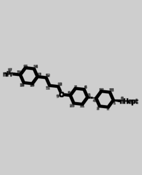 CCCCCCC[C@H]1CC[C@H](C2CCC(OCCCC3CCC(CCC)CC3)CC2)CC1